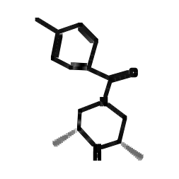 Cc1ccc(C(=O)N2C[C@@H](C)N[C@@H](C)C2)cc1